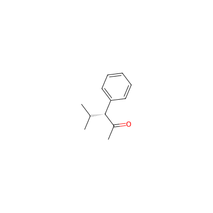 CC(=O)[C@@H](c1ccccc1)C(C)C